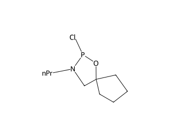 CCCN1CC2(CCCC2)OP1Cl